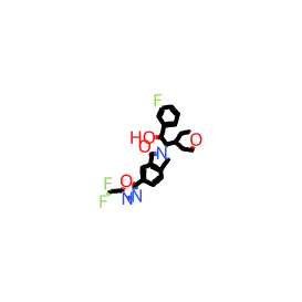 O=C1c2cc(-c3nnc(C(F)F)o3)ccc2CN1C(C1CCOCC1)C(O)c1cccc(F)c1